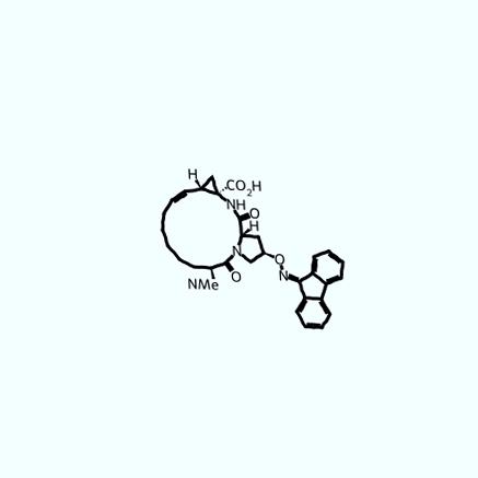 CN[C@H]1CCCCC/C=C\[C@@H]2C[C@@]2(C(=O)O)NC(=O)[C@@H]2C[C@@H](ON=C3c4ccccc4-c4ccccc43)CN2C1=O